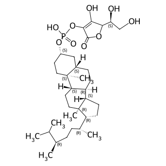 CC(C)[C@H](C)CC[C@@H](C)[C@H]1CC[C@H]2[C@@H]3CC[C@H]4C[C@@H](OP(=O)(O)OC5=C(O)C([C@@H](O)CO)OC5=O)CC[C@]4(C)[C@H]3CC[C@]12C